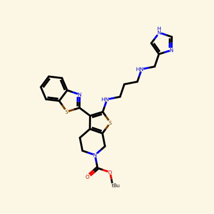 CC(C)(C)OC(=O)N1CCc2c(sc(NCCCNCc3c[nH]cn3)c2-c2nc3ccccc3s2)C1